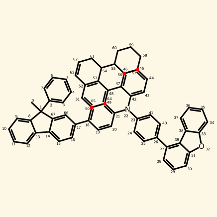 CC1(c2ccccc2)c2ccccc2-c2ccc(-c3ccc(N(c4ccc(-c5cccc6oc7ccccc7c56)cc4)c4ccccc4-c4cccc5c4C(C4CCCCC4)CC=C5)cc3)cc21